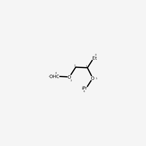 CCC(CO[C]=O)OC(C)C